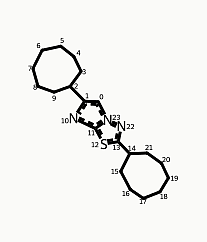 c1c(C2CCCCCCC2)nc2sc(C3CCCCCCC3)nn12